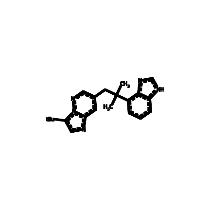 CC(C)(C)c1cnc2cc(CC(C)(C)c3cccc4[nH]cnc34)cnn12